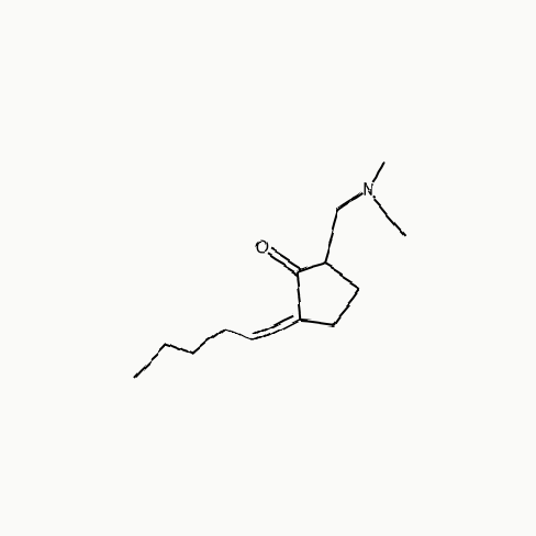 CCCCC=C1CCC(CN(C)C)C1=O